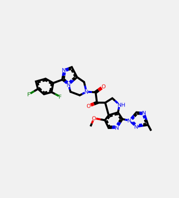 COc1cnc(-n2cnc(C)n2)c2c1C(C(=O)C(=O)N1CCn3c(cnc3-c3ccc(F)cc3F)C1)CN2